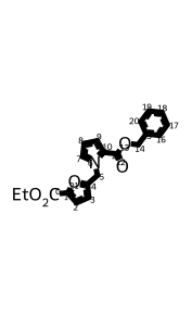 CCOC(=O)c1ccc(Cn2cccc2C(=O)OCc2ccccc2)o1